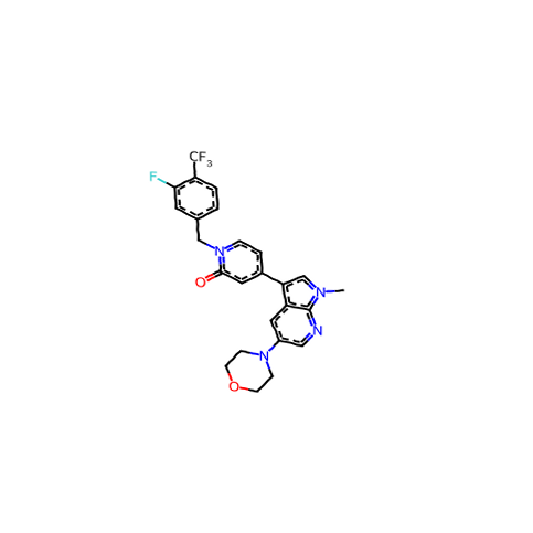 Cn1cc(-c2ccn(Cc3ccc(C(F)(F)F)c(F)c3)c(=O)c2)c2cc(N3CCOCC3)cnc21